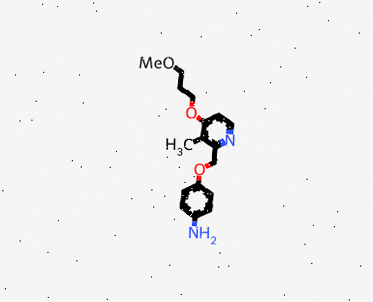 COCCCOc1ccnc(COc2ccc(N)cc2)c1C